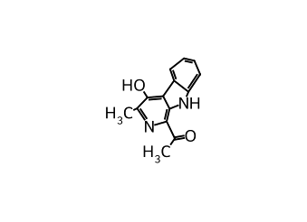 CC(=O)c1nc(C)c(O)c2c1[nH]c1ccccc12